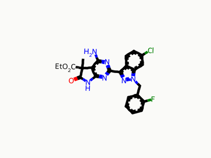 CCOC(=O)C1(C)C(=O)Nc2nc(-c3nn(Cc4ccccc4F)c4cc(Cl)ccc34)nc(N)c21